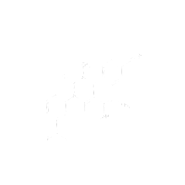 CC=C1NCCC2=C1[C@@H](c1ccc(C#N)cc1)N(C)C(=O)N2c1cccc(C(F)F)c1